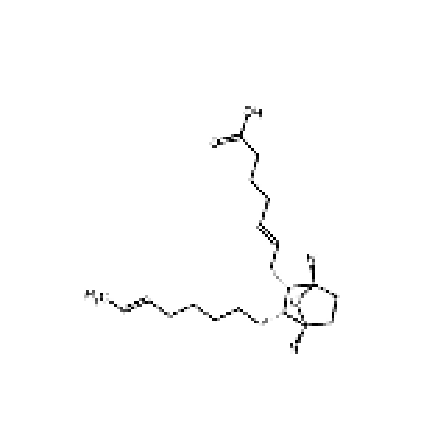 CC=CCCCCC[C@@H]1[C@H](C/C=C/CCCC(=O)O)[C@@H]2CC[C@H]1O2